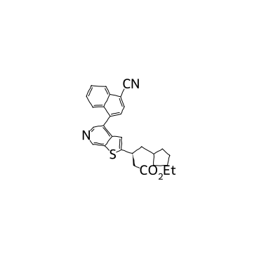 CCOC(=O)C[C@H](CC1CCCC1)c1cc2c(-c3ccc(C#N)c4ccccc34)cncc2s1